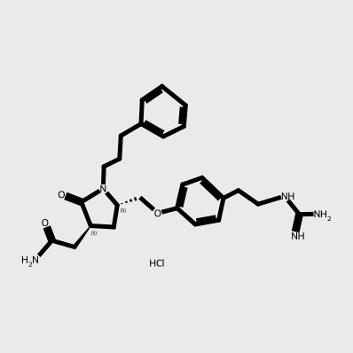 Cl.N=C(N)NCCc1ccc(OC[C@@H]2C[C@@H](CC(N)=O)C(=O)N2CCCc2ccccc2)cc1